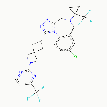 FC(F)(F)c1ccnc(N2CC3(CC(c4nnc5n4-c4ccc(Cl)cc4CN(C4(C(F)(F)F)CC4)C5)C3)C2)n1